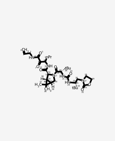 C=CCNC(=O)C(=O)C(CCC)NC(=O)[C@@H]1[C@@H]2[C@H](CN1C(=O)[C@@H](NC(=O)N[C@H](CN1CCOC1=O)C(C)(C)C)C(C)(C)C)C2(C)C